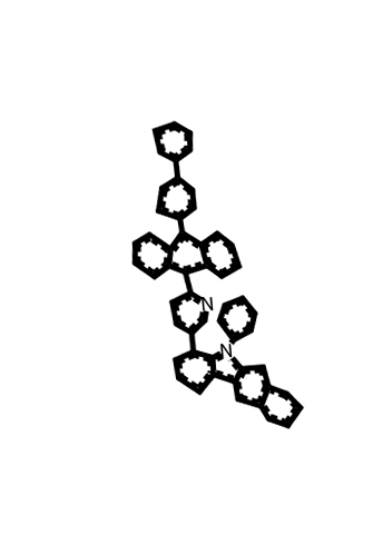 c1ccc(-c2ccc(-c3c4ccccc4c(-c4ccc(-c5cccc6c7cc8ccccc8cc7n(-c7ccccc7)c56)cn4)c4ccccc34)cc2)cc1